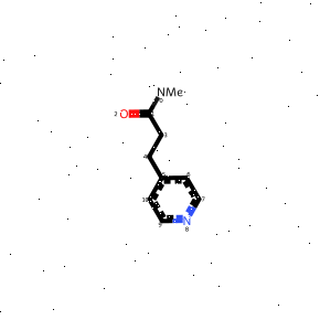 C[N]C(=O)CCc1ccncc1